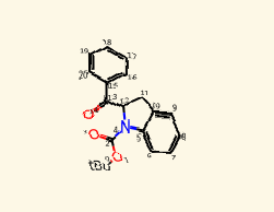 CC(C)(C)OC(=O)N1c2ccccc2CC1C(=O)c1ccccc1